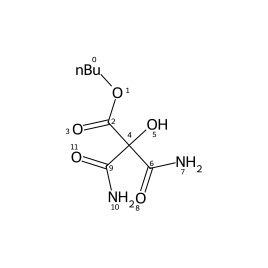 CCCCOC(=O)C(O)(C(N)=O)C(N)=O